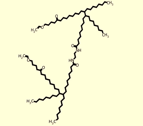 C=COCCCCC(=O)CCCCCCCCC(CCCCCCCC)C(CCCCCCCC)CCCCCCCCC(=O)NCCNC(=O)CCCCCCCCC(CCCCCCCC)C(CCCCCCCC)CCCCCCCCC(=O)CCCCOC=C